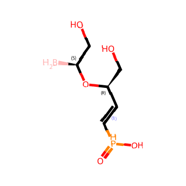 B[C@@H](CO)O[C@H](/C=C/[PH](=O)O)CO